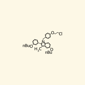 CCCCOc1cccc(-c2c(C)c3cc(OCCCC)ccc3n2Cc2ccc(OCCCl)cc2)c1